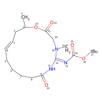 CC1C/C=C/CCCCC(=O)N/C(=N/C(=O)OC(C)(C)C)N(C)CC(=O)O1